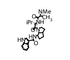 CN[C@@H](C)C(=O)N[C@H](C(=O)N1CCC2CCC(NC(=O)c3c[nH]c4ccccc34)C21)C(C)C